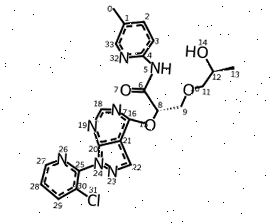 Cc1ccc(NC(=O)[C@H](COC[C@H](C)O)Oc2ncnc3c2cnn3-c2ncccc2Cl)nc1